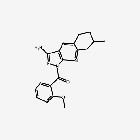 COc1ccccc1C(=O)n1nc(N)c2cc3c(nc21)CC(C)CC3